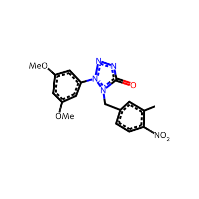 COc1cc(OC)cc(-n2nnc(=O)n2Cc2ccc([N+](=O)[O-])c(C)c2)c1